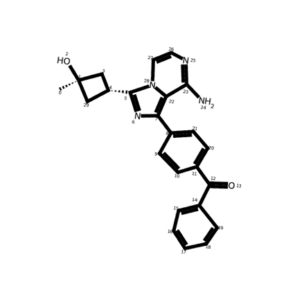 C[C@]1(O)C[C@H](c2nc(-c3ccc(C(=O)c4ccccc4)cc3)c3c(N)nccn32)C1